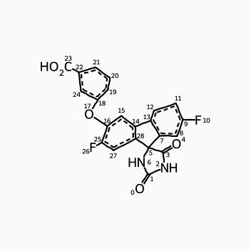 O=C1NC(=O)C2(N1)c1cc(F)ccc1-c1cc(Oc3cccc(C(=O)O)c3)c(F)cc12